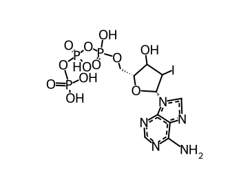 Nc1ncnc2c1ncn2[C@@H]1O[C@H](COP(=O)(O)OP(=O)(O)OP(=O)(O)O)C(O)C1I